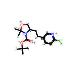 CC(C)(C)OC(=O)N1C(CCc2ccc(Cl)nc2)COC1(C)C